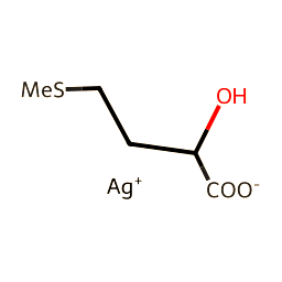 CSCCC(O)C(=O)[O-].[Ag+]